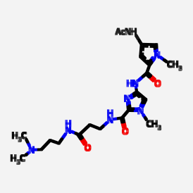 CC(=O)Nc1cc(C(=O)Nc2cn(C)c(C(=O)NCCC(=O)NCCCN(C)C)n2)n(C)c1